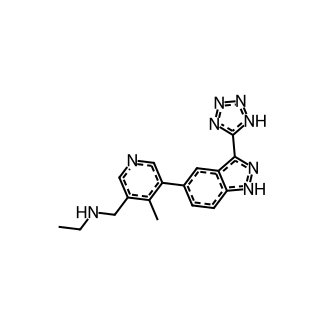 CCNCc1cncc(-c2ccc3[nH]nc(-c4nnn[nH]4)c3c2)c1C